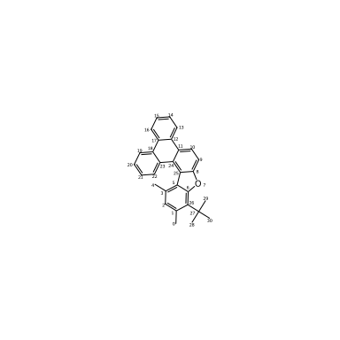 Cc1cc(C)c2c(oc3ccc4c5ccccc5c5ccccc5c4c32)c1C(C)(C)C